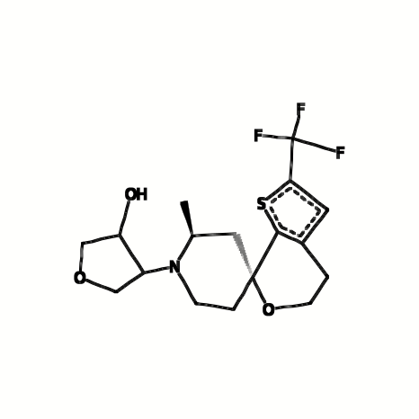 C[C@H]1C[C@@]2(CCN1C1COCC1O)OCCc1cc(C(F)(F)F)sc12